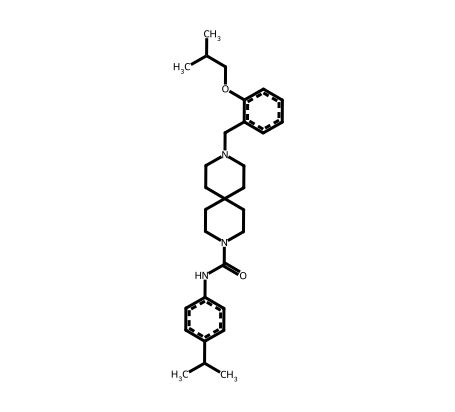 CC(C)COc1ccccc1CN1CCC2(CC1)CCN(C(=O)Nc1ccc(C(C)C)cc1)CC2